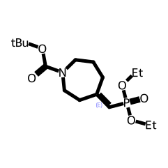 CCOP(=O)(/C=C1\CCCN(C(=O)OC(C)(C)C)CC1)OCC